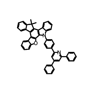 CC1(C)c2ccccc2-c2c1c1c3ccccc3n(-c3ccc(-c4cc(-c5ccccc5)cc(-c5ccccc5)n4)cc3)c1c1oc3ccccc3c21